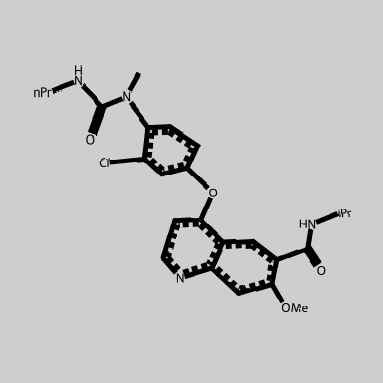 CCCNC(=O)N(C)c1ccc(Oc2ccnc3cc(OC)c(C(=O)NC(C)C)cc23)cc1Cl